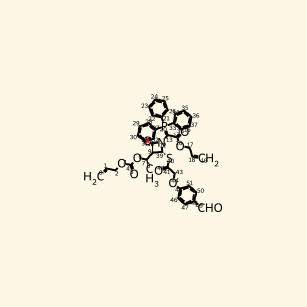 C=CCOC(=O)O[C@H](C)[C@H]1C(=O)N(C(C(=O)OCC=C)=P(c2ccccc2)(c2ccccc2)c2ccccc2)[C@@H]1SC(=O)COc1ccc(C=O)cc1